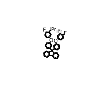 CC(C)c1cc(Oc2cccc(C3(c4cccc(Oc5ccc(F)c(C(C)C)c5)c4)c4ccccc4-c4ccccc43)c2)ccc1F